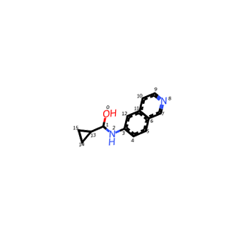 OC(Nc1ccc2cnccc2c1)C1CC1